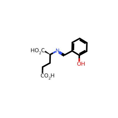 O=C(O)CC[C@H](/N=C/c1ccccc1O)C(=O)O